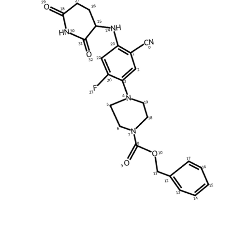 N#Cc1cc(N2CCN(C(=O)OCc3ccccc3)CC2)c(F)cc1NC1CCC(=O)NC1=O